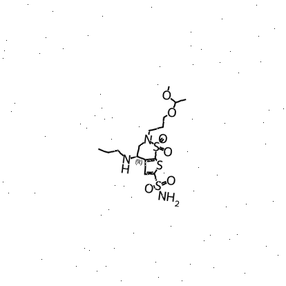 CCCN[C@H]1CN(CCCOC(C)OC)S(=O)(=O)c2sc(S(N)(=O)=O)cc21